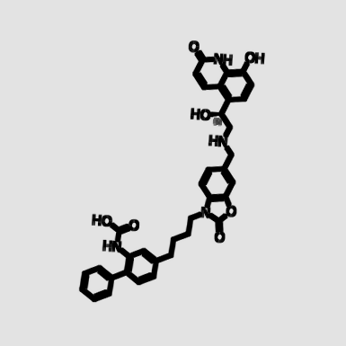 O=C(O)Nc1cc(CCCCn2c(=O)oc3cc(CNC[C@@H](O)c4ccc(O)c5[nH]c(=O)ccc45)ccc32)ccc1-c1ccccc1